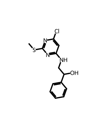 CSc1nc(Cl)cc(NCC(O)c2ccccc2)n1